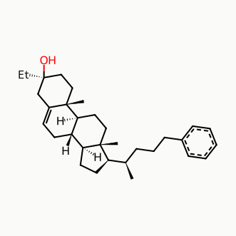 CC[C@]1(O)CC[C@@]2(C)C(=CC[C@H]3[C@@H]4CC[C@H]([C@H](C)CCCc5ccccc5)[C@@]4(C)CC[C@@H]32)C1